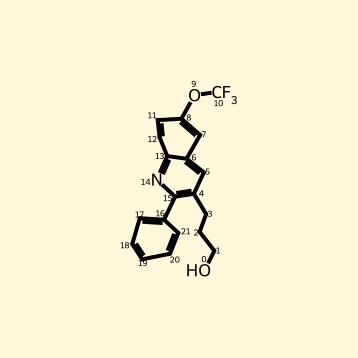 OCCCc1cc2cc(OC(F)(F)F)ccc2nc1-c1ccccc1